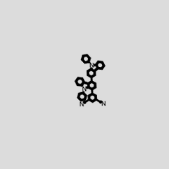 N#Cc1cc(C#N)cc(-c2ccc(-c3ccc4c(c3)c3ccccc3n4-c3ccccc3)c3c4ccccc4n(-c4ccccc4)c23)c1